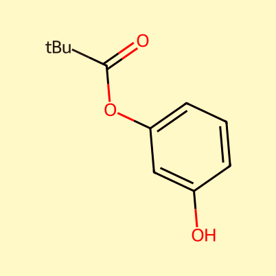 CC(C)(C)C(=O)Oc1cccc(O)c1